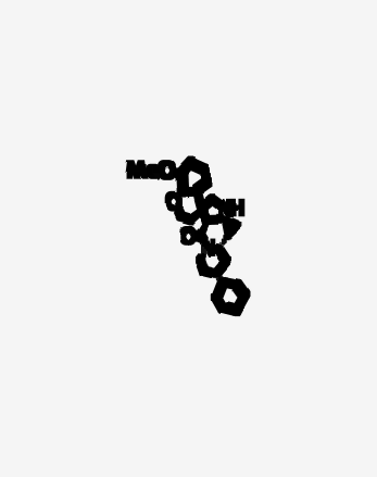 COc1cccc2c1OCC[C@]21CNC[C@H]1C(=O)N1CC[C@@H](c2ccccc2)C[C@H]1C1CC1